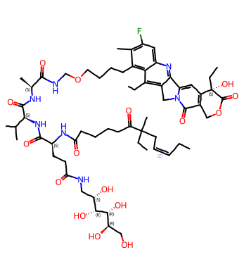 CC/C=C\CC(C)(CC)C(=O)CCCCC(=O)N[C@@H](CCC(=O)NC[C@H](O)[C@@H](O)[C@H](O)[C@H](O)CO)C(=O)N[C@H](C(=O)N[C@@H](C)C(=O)NCOCCCCc1c(C)c(F)cc2nc3c(c(CC)c12)Cn1c-3cc2c(c1=O)COC(=O)[C@]2(O)CC)C(C)C